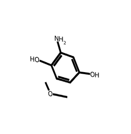 COC.Nc1cc(O)ccc1O